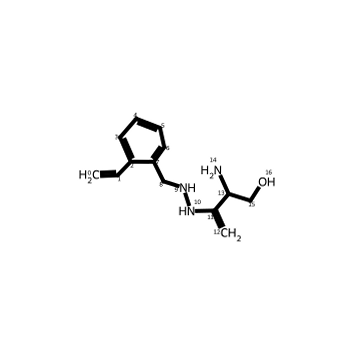 C=Cc1ccccc1CNNC(=C)C(N)CO